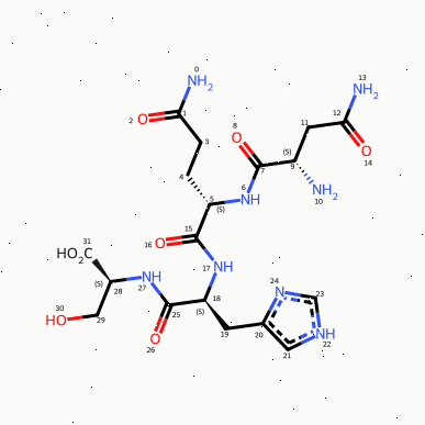 NC(=O)CC[C@H](NC(=O)[C@@H](N)CC(N)=O)C(=O)N[C@@H](Cc1c[nH]cn1)C(=O)N[C@@H](CO)C(=O)O